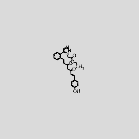 CCOC(=O)Cn1nncc1-c1ccccc1C=CC(=O)CC(=O)C=Cc1ccc(O)cc1